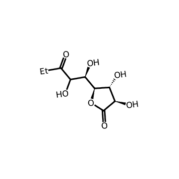 CCC(=O)C(O)[C@@H](O)[C@@H]1OC(=O)[C@H](O)[C@H]1O